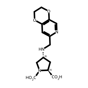 O=C(O)[C@@H]1C[C@@H](NCc2cc3c(cn2)OCCO3)CN1C(=O)O